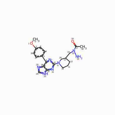 COc1ccc(-c2nc(N3CCCC(CN(N)C(C)=O)C3)nc3[nH]cnc23)cc1